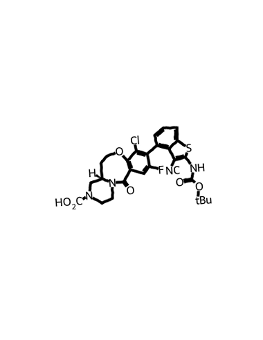 CC(C)(C)OC(=O)Nc1sc2cccc(-c3c(F)cc4c(c3Cl)OCC[C@H]3CN(C(=O)O)CCN3C4=O)c2c1C#N